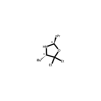 CCC[C@@H]1N[C@@H](C(C)CC)C(CC)(CC)O1